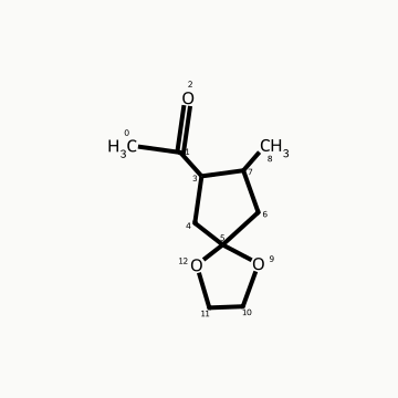 CC(=O)C1CC2(CC1C)OCCO2